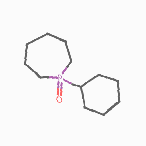 O=P1(C2CCCCC2)CCCCCC1